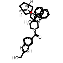 Cc1nc2ccccc2n1[C@H]1C[C@H]2CC[C@@H](C1)N2CCC1(c2ccccc2)CCN(C(=O)c2ccc3nc(CO)[nH]c3c2)CC1